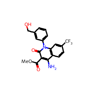 COC(=O)c1c(N)c2ccc(C(F)(F)F)cc2n(-c2cccc(CO)c2)c1=O